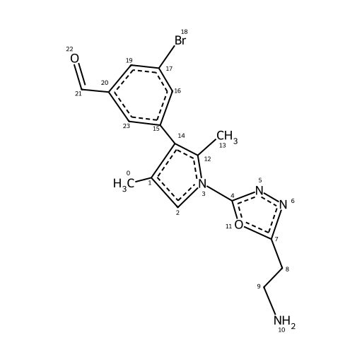 Cc1cn(-c2nnc(CCN)o2)c(C)c1-c1cc(Br)cc(C=O)c1